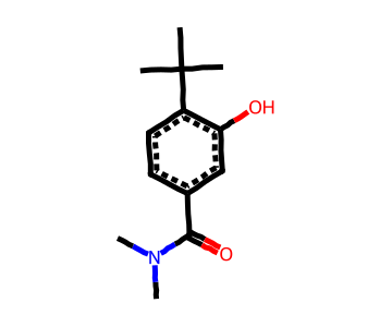 CN(C)C(=O)c1ccc(C(C)(C)C)c(O)c1